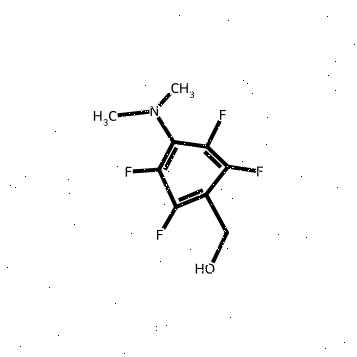 CN(C)c1c(F)c(F)c(CO)c(F)c1F